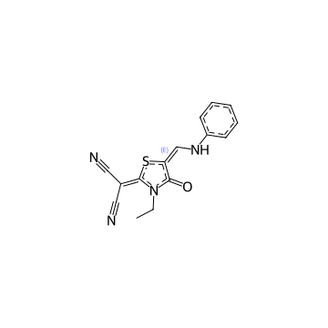 CCn1c(=C(C#N)C#N)s/c(=C/Nc2ccccc2)c1=O